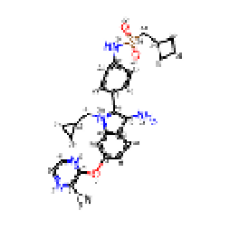 N#Cc1nccnc1Oc1ccc2c(N)c(-c3ccc(NS(=O)(=O)CC4CCC4)cc3)n(CC3CC3)c2c1